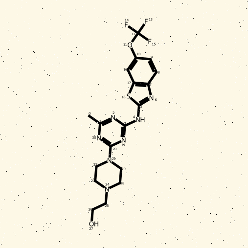 Cc1nc(Nc2nc3ccc(OC(F)(F)F)cc3s2)nc(N2CCN(CCO)CC2)n1